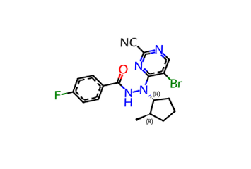 C[C@@H]1CCC[C@H]1N(NC(=O)c1ccc(F)cc1)c1nc(C#N)ncc1Br